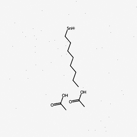 CC(=O)O.CC(=O)O.CCCCCCC[CH2][SnH]